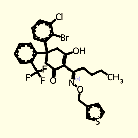 CCCC/C(=N\OCc1ccsc1)C1=C(O)CC(c2ccccc2C(F)(F)F)(c2cccc(Cl)c2Br)CC1=O